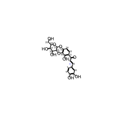 O=C(/C=C/c1ccc(O)c(O)c1)c1ccc2c(c1O)OC1C(O2)OC(CO)C(O)C1O